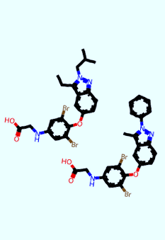 CCc1c2cc(Oc3c(Br)cc(NCC(=O)O)cc3Br)ccc2nn1CC(C)C.Cc1c2cc(Oc3c(Br)cc(NCC(=O)O)cc3Br)ccc2nn1-c1ccccc1